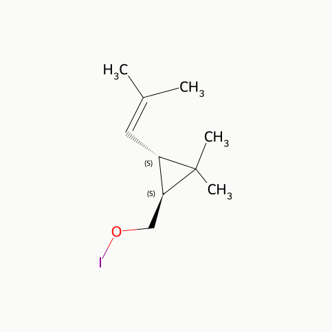 CC(C)=C[C@H]1[C@H](COI)C1(C)C